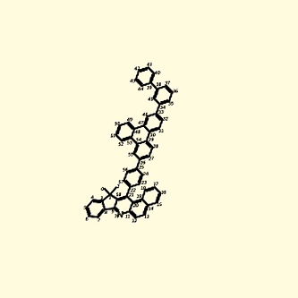 CC1(C)c2ccccc2-c2nc3ccc4ccccc4c3c(-c3ccc(-c4ccc5c6ccc(-c7cccc(-c8ccccc8)c7)cc6c6ccccc6c5c4)cc3)c21